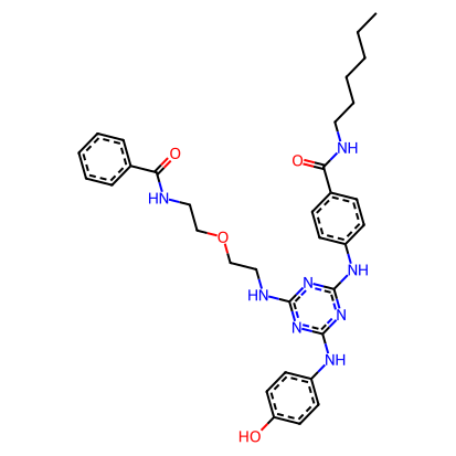 CCCCCCNC(=O)c1ccc(Nc2nc(NCCOCCNC(=O)c3ccccc3)nc(Nc3ccc(O)cc3)n2)cc1